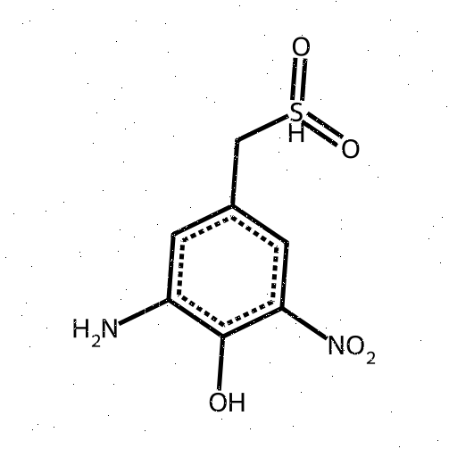 Nc1cc(C[SH](=O)=O)cc([N+](=O)[O-])c1O